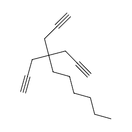 C#CCC(CC#C)(CC#C)CCCCCC